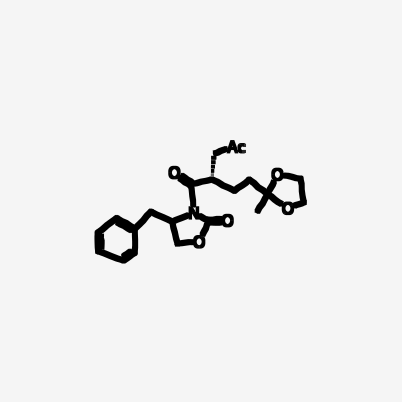 CC(=O)C[C@H](CCC1(C)OCCO1)C(=O)N1C(=O)OCC1Cc1ccccc1